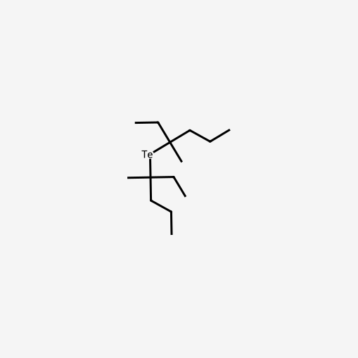 CCCC(C)(CC)[Te]C(C)(CC)CCC